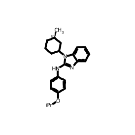 CC(C)Oc1ccc(Nc2nc3ccccc3n2C2CCC[C@@H](C)C2)cc1